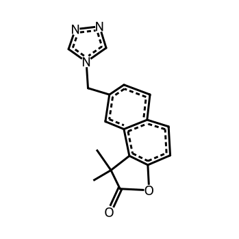 CC1(C)C(=O)Oc2ccc3ccc(Cn4cnnc4)cc3c21